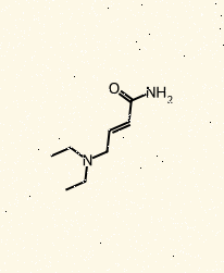 CCN(CC)C/C=C/C(N)=O